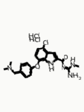 CNC(N)=NC(=O)c1cc2c(Cl)ccc(Oc3ccc(CN(C)C)cc3)c2[nH]1.Cl.Cl